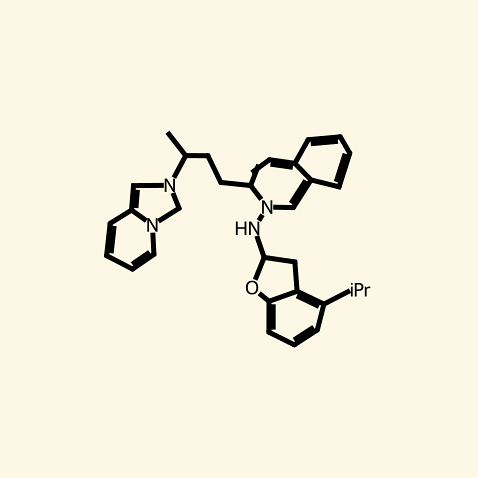 C/C=c1/cccc/c1=C/N(NC1Cc2c(cccc2C(C)C)O1)C(C)CCC(C)N1C=C2C=CC=CN2C1